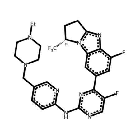 CCN1CCN(Cc2ccc(Nc3ncc(F)c(-c4cc(F)c5nc6n(c5c4)[C@H](C(F)(F)F)CC6)n3)nc2)CC1